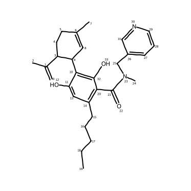 C=C(C)C1CCC(C)=CC1c1c(O)cc(CCCCC)c(C(=O)N(C)Cc2cccnc2)c1O